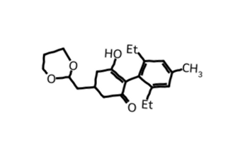 CCc1cc(C)cc(CC)c1C1=C(O)CC(CC2OCCCO2)CC1=O